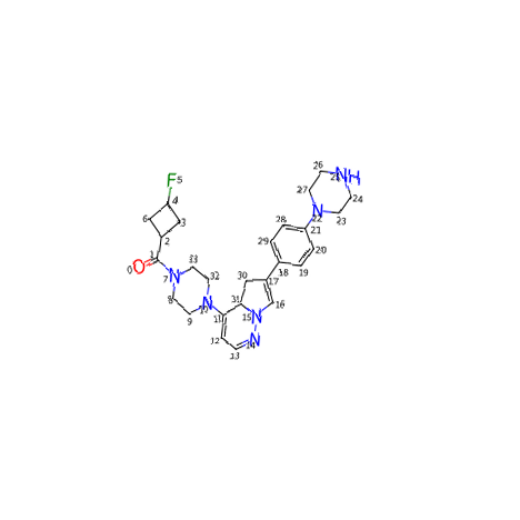 O=C(C1CC(F)C1)N1CCN(C2=CC=NN3C=C(c4ccc(N5CCNCC5)cc4)CC23)CC1